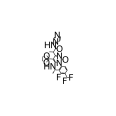 COc1nc(N[C@H](C)c2cccc(C(F)F)c2F)c(C2OCCO2)c(C(C)C(=O)Nn2ccnc2)n1